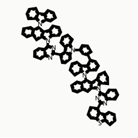 c1cc(-c2cccc3c2c2ccccc2n3-c2c3ccccc3cc3c2c2ccccc2n3-c2nc(-c3cccc4sc5ccccc5c34)nc3ccccc23)cc(-n2c3ccccc3c3c(-c4nc(-n5c6ccccc6c6c(-n7c8ccccc8c8ccccc87)c7ccccc7cc65)c5ccccc5n4)cccc32)c1